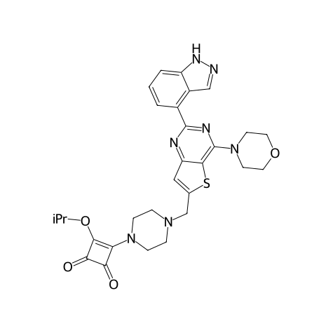 CC(C)Oc1c(N2CCN(Cc3cc4nc(-c5cccc6[nH]ncc56)nc(N5CCOCC5)c4s3)CC2)c(=O)c1=O